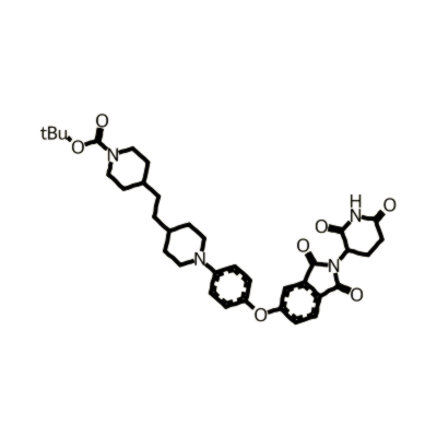 CC(C)(C)OC(=O)N1CCC(CCC2CCN(c3ccc(Oc4ccc5c(c4)C(=O)N(C4CCC(=O)NC4=O)C5=O)cc3)CC2)CC1